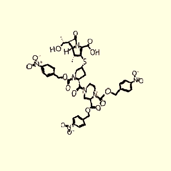 C[C@@H](O)[C@H]1C(=O)N2C(C(=O)O)=C(S[C@H]3C[C@@H](C(=O)N4CCN(C(=O)OCc5ccc([N+](=O)[O-])cc5)C(C(=O)OCc5ccc([N+](=O)[O-])cc5)C4)N(C(=O)OCc4ccc([N+](=O)[O-])cc4)C3)[C@H](C)[C@H]12